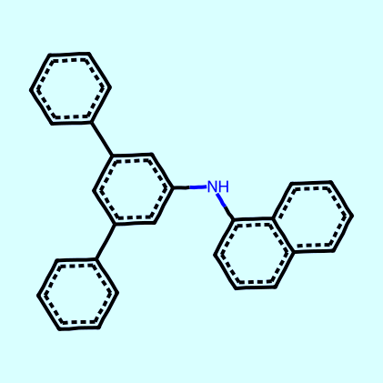 c1ccc(-c2cc(Nc3cccc4ccccc34)cc(-c3ccccc3)c2)cc1